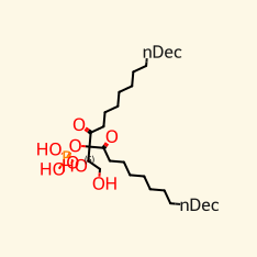 CCCCCCCCCCCCCCCCCC(=O)C(OP(=O)(O)O)(C(=O)CCCCCCCCCCCCCCCCC)[C@@H](O)CO